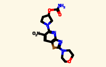 NC(=O)OC1CCN(c2nc3nc(N4CCOCC4)sc3cc2[N+](=O)[O-])C1